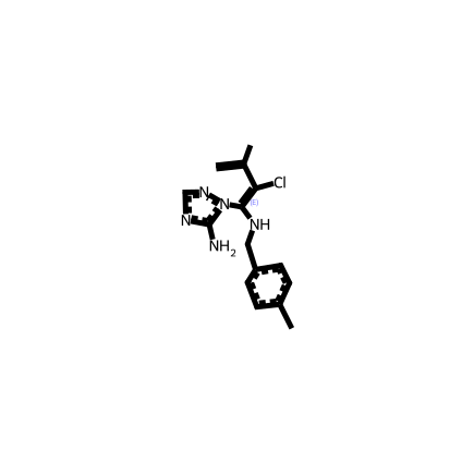 C=C(C)/C(Cl)=C(/NCc1ccc(C)cc1)n1ncnc1N